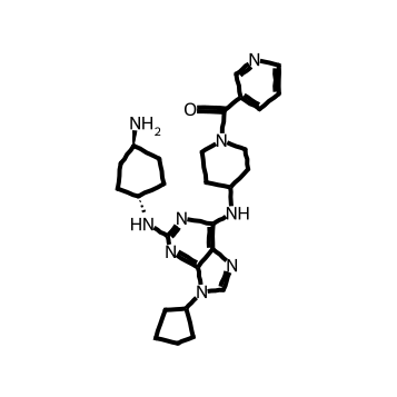 N[C@H]1CC[C@H](Nc2nc(NC3CCN(C(=O)c4cccnc4)CC3)c3ncn(C4CCCC4)c3n2)CC1